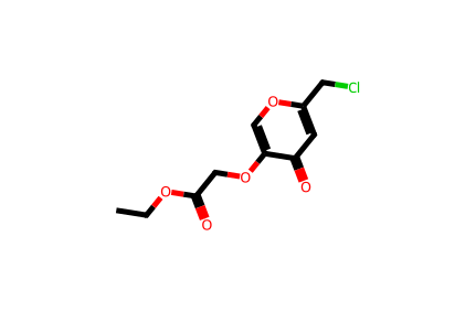 CCOC(=O)COc1coc(CCl)cc1=O